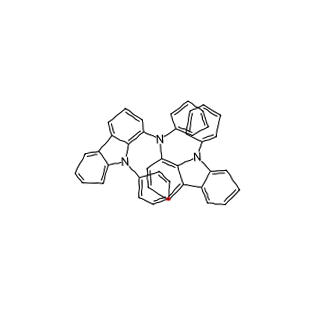 c1ccc(N(c2cccc3c4ccccc4n(-c4ccccc4)c23)c2cccc3c4ccccc4n(-c4ccccc4)c23)cc1